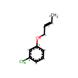 [CH2]/C=C/COc1cccc(Cl)c1